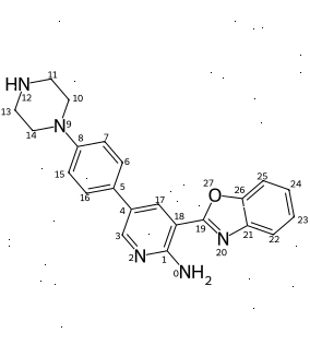 Nc1ncc(-c2ccc(N3CCNCC3)cc2)cc1-c1nc2ccccc2o1